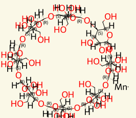 OC[C@H]1O[C@@H]2O[C@H]3[C@H](O)[C@@H](O)[C@@H](O[C@H]4[C@H](O)[C@@H](O)[C@@H](O[C@H]5[C@H](O)[C@@H](O)[C@@H](O[C@H]6[C@H](O)[C@@H](O)[C@@H](O[C@H]7[C@H](O)[C@@H](O)[C@@H](O[C@H]8[C@H](O)[C@@H](O)[C@@H](O[C@H]9[C@H](O)[C@@H](O)[C@@H](O[C@H]1[C@H](O)[C@H]2O)O[C@@H]9CO)O[C@@H]8CO)O[C@@H]7CO)O[C@@H]6CO)O[C@@H]5CO)O[C@@H]4CO)O[C@@H]3CO.[Mn]